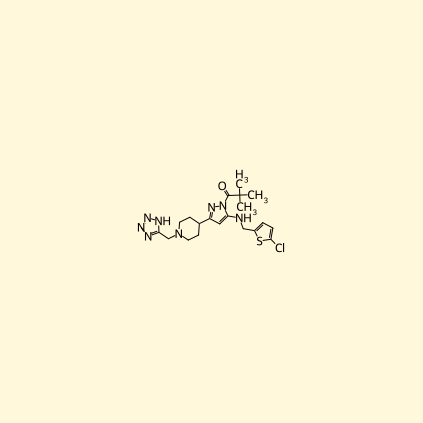 CC(C)(C)C(=O)n1nc(C2CCN(Cc3nnn[nH]3)CC2)cc1NCc1ccc(Cl)s1